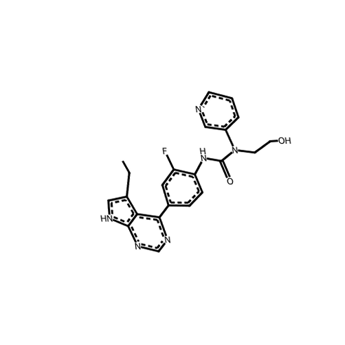 CCc1c[nH]c2ncnc(-c3ccc(NC(=O)N(CCO)c4cccnc4)c(F)c3)c12